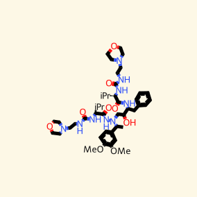 COc1ccc(C(C)N(CC(O)C(Cc2ccccc2)NC(=O)[C@@H](NC(=O)NCCN2CCOCC2)C(C)C)NC(=O)[C@@H](NC(=O)NCCN2CCOCC2)C(C)C)cc1OC